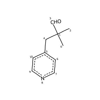 CC(C)(C=O)Cc1ccncc1